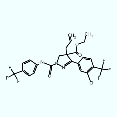 C=CCC1(C(=O)OCC)CN(C(=O)Nc2ccc(C(F)(F)F)cc2)N=C1c1ccc(C(F)(F)F)c(Cl)c1